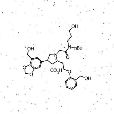 CCCCN(CCCO)C(=O)CN1C[C@H](c2cc(CO)c3c(c2)OCO3)[C@@H](C(=O)O)[C@@H]1CCOc1ccccc1CO